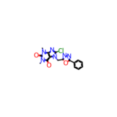 Cn1c(=O)c2c(nc(Cl)n2Cc2nnc(-c3ccccc3)o2)n(C)c1=O